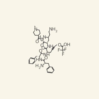 CC#CCC(NC(=O)[C@@H](Cc1ccccc1)NC(=O)[C@H](N)Cc1ccccc1)C(=O)N[C@H](CC(N)CCN)C(=O)OC(=O)C1CCN(C)CC1.O=C(O)C(F)(F)F